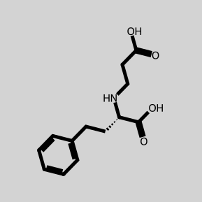 O=C(O)CCN[C@@H](CCc1ccccc1)C(=O)O